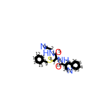 N#CCNC(=O)C(CSCc1ccccc1)NC(=O)c1cnc2ccccc2c1